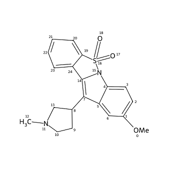 COc1ccc2c(c1)c(C1CCN(C)C1)c1n2S(=O)(=O)c2ccccc2-1